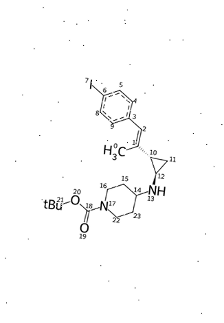 C/C(=C\c1ccc(I)cc1)[C@@H]1C[C@H]1NC1CCN(C(=O)OC(C)(C)C)CC1